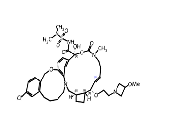 COC1CN(CCO[C@H]2/C=C/CCN(C)C(=O)C[C@](O)(C(=O)NS(=O)(=O)N(C)C)c3ccc4c(c3)N(CCCCc3cc(Cl)ccc3CO4)C[C@@H]3CC[C@H]32)C1